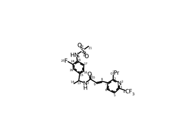 CC(C)c1nc(C(F)(F)F)ccc1C=CC(=O)NC(C)c1ccc(NS(C)(=O)=O)c(F)c1